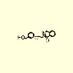 O=c1c2ccccc2cnn1CCOc1cccc(CO)c1